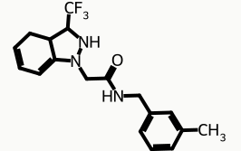 Cc1cccc(CNC(=O)CN2NC(C(F)(F)F)C3CC=CC=C32)c1